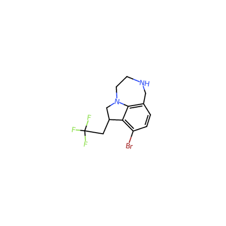 FC(F)(F)CC1CN2CCNCc3ccc(Br)c1c32